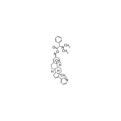 CN(C)C(C(=O)ON=C1C=C2CC[C@H]3[C@H](CC[C@]4(C)C(c5cccnc5)=CC[C@@H]34)[C@@]2(C)CC1)c1ccccc1